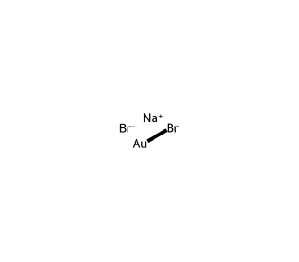 [Br-].[Br][Au].[Na+]